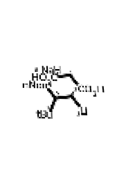 O=C(O)CC(=O)O.[Li][CH2]C(CCCCCCCCC)C(C)(C)C.[NaH]